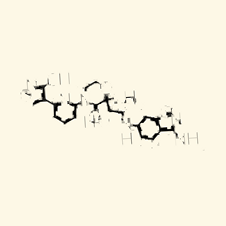 Cc1nocc1-c1cccc(N2CCO[C@](C)(C(O)C(=O)Nc3ccc4c(N)noc4c3)C2=O)n1